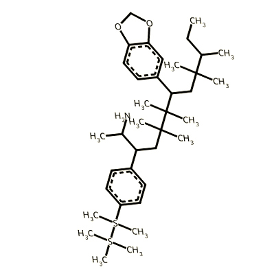 CCC(C)C(C)(C)CC(c1ccc2c(c1)OCO2)C(C)(C)C(C)(C)CC(c1ccc(S(C)(C)S(C)(C)C)cc1)C(C)N